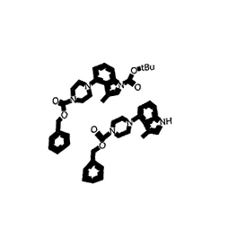 Cc1c[nH]c2cccc(N3CCN(C(=O)OCc4ccccc4)CC3)c12.Cc1cn(C(=O)OC(C)(C)C)c2cccc(N3CCN(C(=O)OCc4ccccc4)CC3)c12